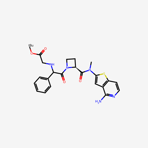 CN(C(=O)[C@@H]1CCN1C(=O)C(NCC(=O)OC(C)(C)C)c1ccccc1)c1cc2c(N)nccc2s1